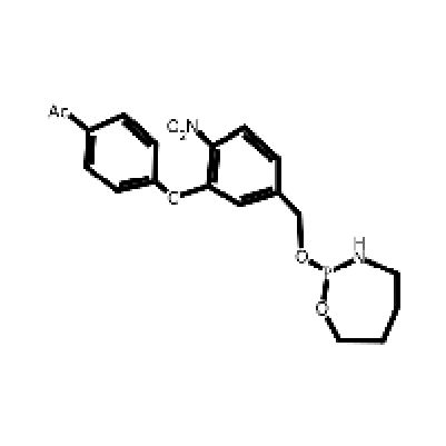 CC(=O)c1ccc(Oc2cc(COP3NCCCCO3)ccc2[N+](=O)[O-])cc1